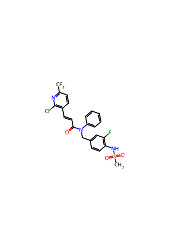 CS(=O)(=O)Nc1ccc(CN(C(=O)C=Cc2ccc(C(F)(F)F)nc2Cl)c2ccccc2)cc1F